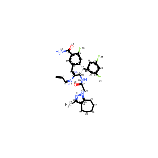 C=C/C=N\C(=C\c1ccc(F)c(C(N)=O)c1)[C@H](Cc1cc(F)cc(F)c1)NC(=O)Cn1nc(C(F)(F)F)c2c1CCCCC2